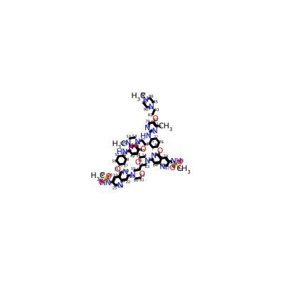 Cc1nc(N[C@H]2CC[C@@H](Oc3nc(N4CCOC(C5CN(c6cc7ncc(NS(C)(=O)=O)cc7c(O[C@H]7CC[C@@H](Nc8ccc(OCCN9CCN(C)CC9)cn8)CC7)n6)CCO5)C4)cc4ncc(NS(C)(=O)=O)cc34)CC2)ncc1OCCN1CCN(C)CC1